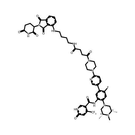 C[C@@H]1CN(c2cc(F)c(-c3ccc(N4CCN(C(=O)CCC(=O)NCCCCNc5cccc6c5C(=O)N(C5CCC(=O)NC5=O)C6=O)CC4)nc3)cc2NC(=O)c2c[nH]c(=O)cc2C(F)(F)F)C[C@H](C)N1C